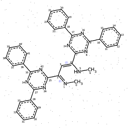 C/N=C(\C=C(/NC)c1nc(-c2ccccc2)nc(-c2ccccc2)n1)c1nc(-c2ccccc2)nc(-c2ccccc2)n1